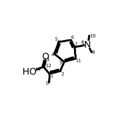 CC(=Cc1cccc(N(C)C)c1)C(=O)O